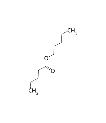 [CH2]CCCC(=O)OCCCCC